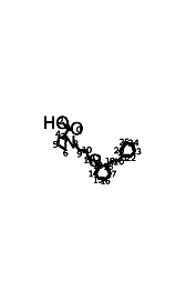 O=C(O)C1CCCN1CCCCOc1ccccc1CCc1ccccc1